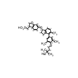 Cc1cc(-c2c(C(F)(F)F)ccc3c2CC[C@H]3Oc2ccc3c(c2)OCC3CC(=O)O)cc(C)c1OCCC(C)(C)O